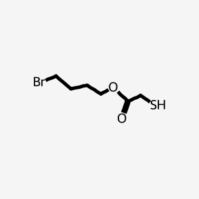 O=C(CS)OCCCCBr